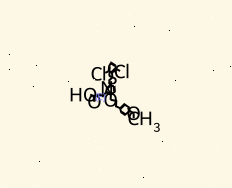 COc1ccc(CCOc2ccc(CSc3c(Cl)cccc3Cl)nc2/C=C/C(=O)O)cc1